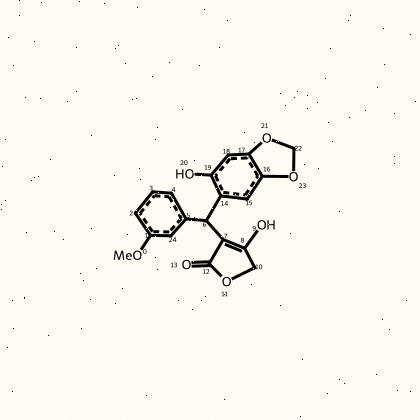 COc1cccc(C(C2=C(O)COC2=O)c2cc3c(cc2O)OCO3)c1